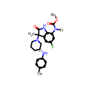 CCN(C(=O)OC(C)(C)C)c1cc(F)cc2c1NC(=O)C2(C)N1CCC[C@@H](Nc2ccc(C#N)cc2)C1